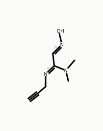 C#CC/N=C(/C=N/O)N(C)C